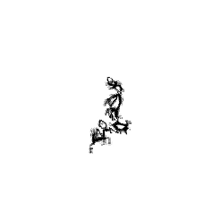 O=C(Nc1ccc(F)c(-n2cc3cc(N4CCC5(COC5)C4)cnc3n2)c1)N1CC(F)C1